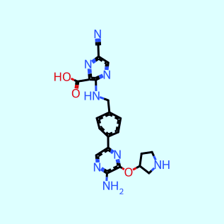 N#Cc1cnc(NCc2ccc(-c3cnc(N)c(OC4CCNC4)n3)cc2)c(C(=O)O)n1